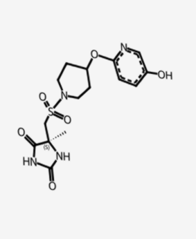 C[C@]1(CS(=O)(=O)N2CCC(Oc3ccc(O)cn3)CC2)NC(=O)NC1=O